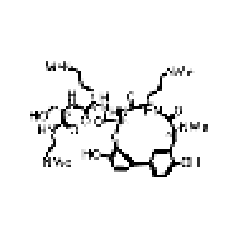 CNCCC[C@@H]1NC(=O)[C@@H](NC)Cc2cc(ccc2O)-c2ccc(O)c(c2)C[C@@H](C(=O)N[C@@H](CCCNC)C(=O)N[C@@H](CO)C(=O)NCCNC)NC1=O